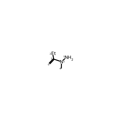 C=C(CC)N(C)N